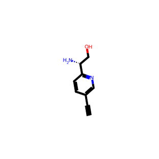 C#Cc1ccc([C@H](N)CO)nc1